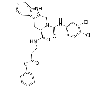 O=C(CCNC(=O)[C@H]1Cc2c([nH]c3ccccc23)CN1C(=O)Nc1ccc(Cl)c(Cl)c1)Oc1ccccc1